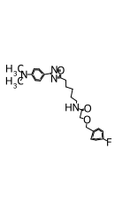 CN(C)c1ccc(-c2noc(CCCCCNC(=O)COCc3ccc(F)cc3)n2)cc1